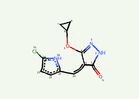 O=C1NN=C(OC2CC2)/C1=C\c1ccc(Cl)[nH]1